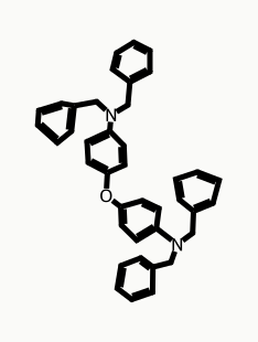 c1ccc(CN(Cc2ccccc2)c2ccc(Oc3ccc(N(Cc4ccccc4)Cc4ccccc4)cc3)cc2)cc1